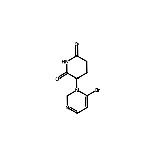 O=C1CCC(N2CN=CC=C2Br)C(=O)N1